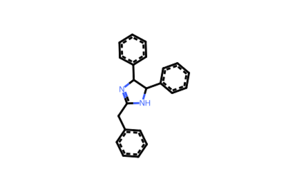 c1ccc(CC2=NC(c3ccccc3)C(c3ccccc3)N2)cc1